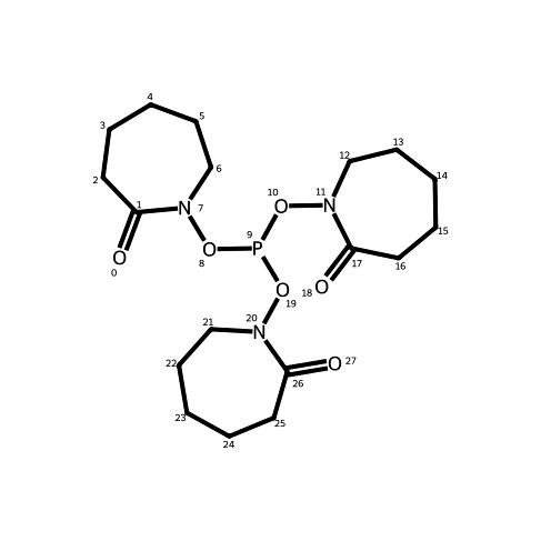 O=C1CCCCCN1OP(ON1CCCCCC1=O)ON1CCCCCC1=O